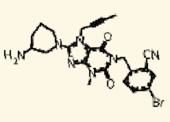 CC#CCn1c(N2CCCC(N)C2)nc2c1c(=O)n(Cc1ccc(Br)cc1C#N)c(=O)n2C